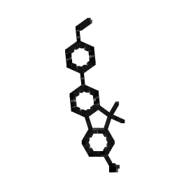 C=Cc1ccc(-c2ccc3c(c2)C(C)(C)c2cc(Br)ccc2-3)cc1